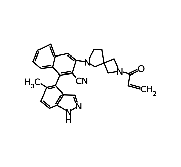 C=CC(=O)N1CC2(CCN(c3cc4ccccc4c(-c4c(C)ccc5[nH]ncc45)c3C#N)C2)C1